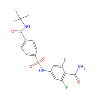 CC(C)(C)NC(=O)c1ccc(S(=O)(=O)Nc2cc(F)c(C(N)=O)c(F)c2)cc1